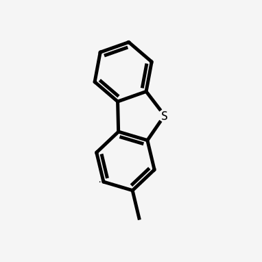 Cc1[c]cc2c(c1)sc1ccccc12